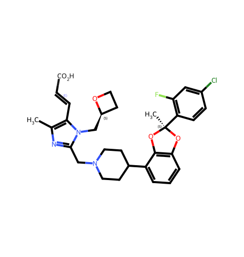 Cc1nc(CN2CCC(c3cccc4c3O[C@@](C)(c3ccc(Cl)cc3F)O4)CC2)n(C[C@@H]2CCO2)c1/C=C/C(=O)O